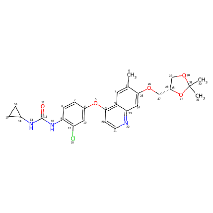 Cc1cc2c(Oc3ccc(NC(=O)NC4CC4)c(Cl)c3)ccnc2cc1OC[C@@H]1COC(C)(C)O1